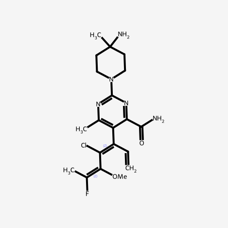 C=C/C(=C(Cl)\C(OC)=C(/C)F)c1c(C)nc(N2CCC(C)(N)CC2)nc1C(N)=O